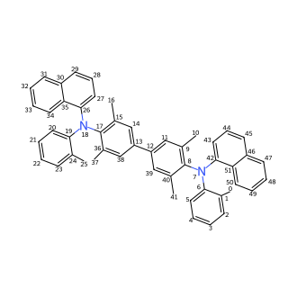 Cc1ccccc1N(c1c(C)cc(-c2cc(C)c(N(c3ccccc3C)c3cccc4ccccc34)c(C)c2)cc1C)c1cccc2ccccc12